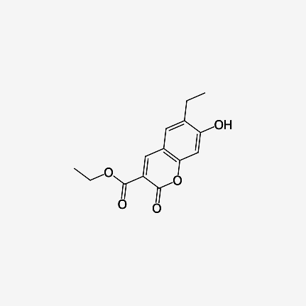 CCOC(=O)c1cc2cc(CC)c(O)cc2oc1=O